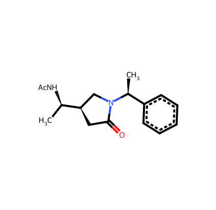 CC(=O)N[C@H](C)[C@@H]1CC(=O)N([C@@H](C)c2ccccc2)C1